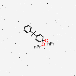 CCCOC1(OCCC)C=CC(C(C)(C)c2ccccc2)=CC1